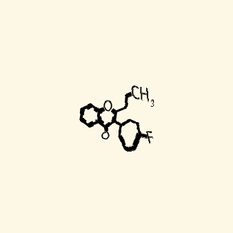 CCCc1oc2ccccc2c(=O)c1C1=CCC(F)=CC=C1